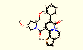 COC[C@@H]1C[C@@H](OC)CN1C(=O)c1cc(-c2ccccc2)c(=O)n2ccc3ccsc3c12